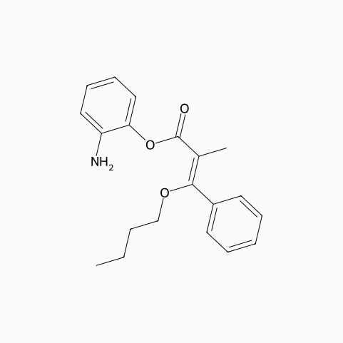 CCCCOC(=C(C)C(=O)Oc1ccccc1N)c1ccccc1